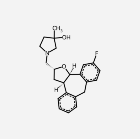 CC1(O)CCN(C[C@H]2C[C@@H]3c4ccccc4Cc4ccc(F)cc4[C@@H]3O2)C1